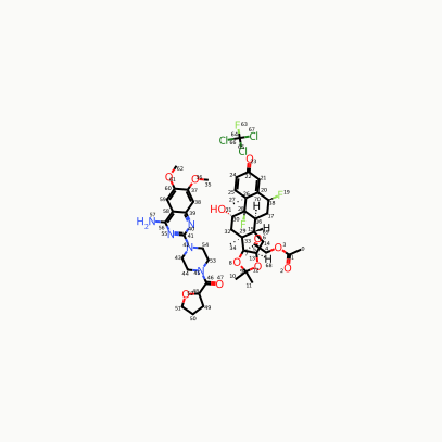 CC(=O)OCC(=O)[C@@]12OC(C)(C)O[C@@H]1C[C@H]1[C@@H]3C[C@H](F)C4=CC(=O)C=C[C@]4(C)[C@@]3(F)[C@@H](O)C[C@@]12C.COc1cc2nc(N3CCN(C(=O)C4CCCO4)CC3)nc(N)c2cc1OC.FC(Cl)(Cl)Cl